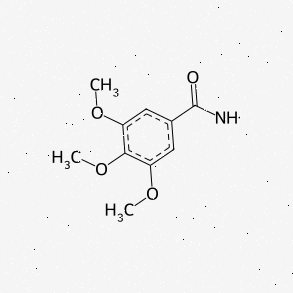 COc1cc(C([NH])=O)cc(OC)c1OC